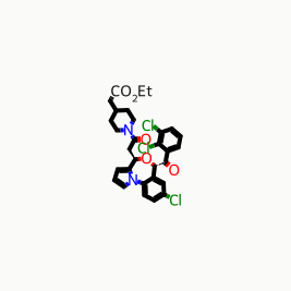 CCOC(=O)CC1CCN(C(=O)C[C@H]2O[C@H](C(=O)c3cccc(Cl)c3Cl)c3cc(Cl)ccc3-n3cccc32)CC1